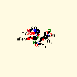 CC1(C)OC(c2ccco2)CN1C(=O)C(Cl)Cl.CCCCCOC(=O)COc1cc(N2C(=O)C3=C(CCCC3)C2=O)c(F)cc1Cl.CCOCN(C(=O)CCl)c1c(C)cccc1CC.CP(=O)(O)CCC(N)C(=O)O